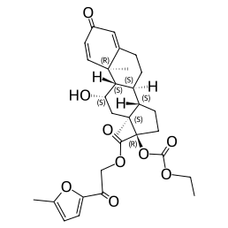 CCOC(=O)O[C@]1(C(=O)OCC(=O)c2ccc(C)o2)CC[C@H]2[C@@H]3CCC4=CC(=O)C=C[C@]4(C)[C@H]3[C@@H](O)C[C@@]21C